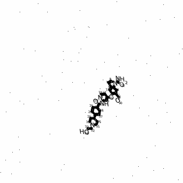 COCc1cc2c(ccn2C(N)=O)cc1Oc1ccnc(NC(=O)c2ccc(C3CCN(CCO)CC3)cc2)c1